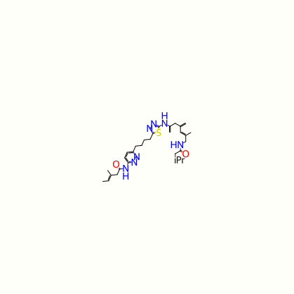 C=C(/C=C(\C)CNC(=O)CC(C)C)CC(=C)Nc1nnc(CCCCc2ccc(NC(=O)C/C(C)=C/C)nn2)s1